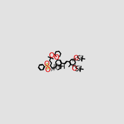 CC1=C(C=CC2=CCC[C@]3(C)[C@@H]([C@H](C)C(CCC(C)(C)OC4CCCCO4)S(=O)(=O)c4ccccc4)CC[C@@H]23)C[C@@H](O[Si](C)(C)C(C)(C)C)C[C@@H]1O[Si](C)(C)C(C)(C)C